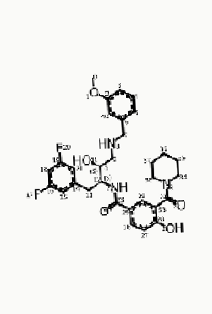 COc1cccc(CNC[C@H](O)[C@H](Cc2cc(F)cc(F)c2)NC(=O)c2ccc(O)c(C(=O)N3CCCCC3)c2)c1